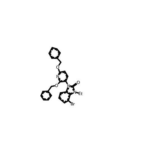 CCn1c(=O)n(-c2ccc(OCc3ccccc3)nc2OCc2ccccc2)c2cccc(Br)c21